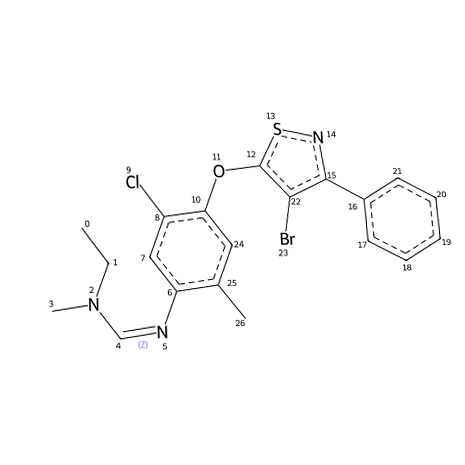 CCN(C)/C=N\c1cc(Cl)c(Oc2snc(-c3ccccc3)c2Br)cc1C